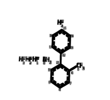 B.F.F.F.F.FC(F)(F)c1ccccc1-c1ccccc1